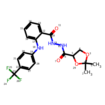 CC1(C)OCC(C(=O)NNC(=O)c2ccccc2Nc2ccc(C(F)(F)F)cc2)O1